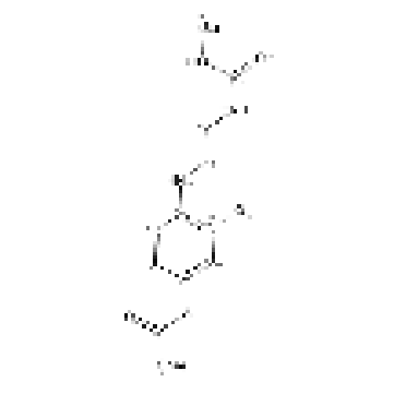 COC(=O)Cc1ccc(NCCNC(=O)OC(C)(C)C)[n+]([O-])c1